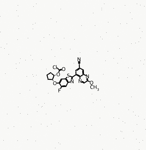 COc1cnc2c(-c3nc4cc(F)c(O[C@@H]5CCC[C@@H]5OC(=O)Cl)cc4s3)cc(C#N)cc2n1